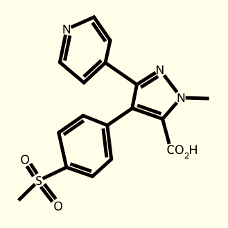 Cn1nc(-c2ccncc2)c(-c2ccc(S(C)(=O)=O)cc2)c1C(=O)O